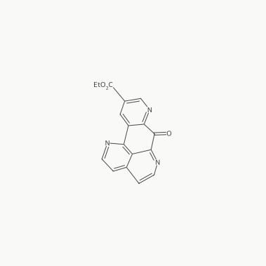 CCOC(=O)c1cnc2c(c1)-c1nccc3ccnc(c13)C2=O